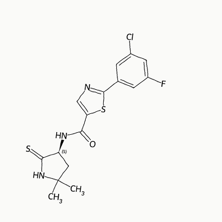 CC1(C)C[C@H](NC(=O)c2cnc(-c3cc(F)cc(Cl)c3)s2)C(=S)N1